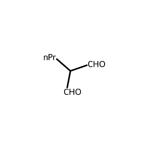 CCCC(C=O)C=O